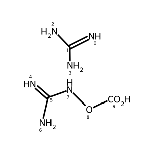 N=C(N)N.N=C(N)NOC(=O)O